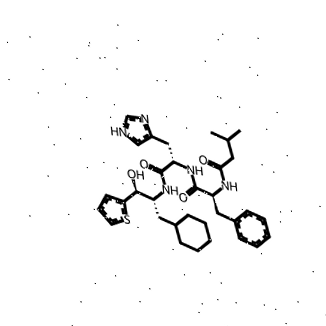 CC(C)CC(=O)N[C@@H](Cc1ccccc1)C(=O)N[C@@H](Cc1c[nH]cn1)C(=O)N[C@H](CC1CCCCC1)[C@H](O)c1cccs1